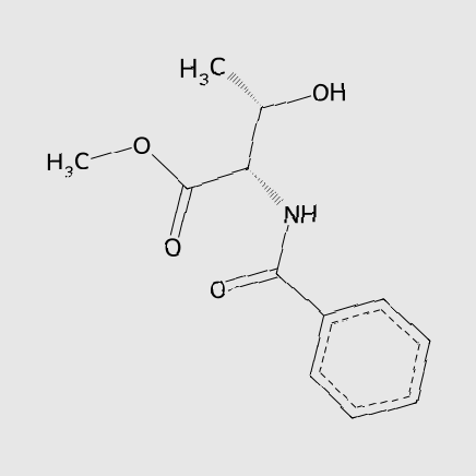 COC(=O)[C@@H](NC(=O)c1ccccc1)[C@H](C)O